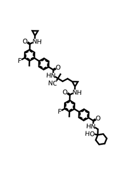 Cc1c(F)cc(C(=O)NC2CC2)cc1-c1ccc(C(=O)NC(C)(C#N)CCC2CC2NC(=O)c2cc(F)c(C)c(-c3ccc(C(=O)NCC4(O)CCCCC4)cc3)c2)cc1